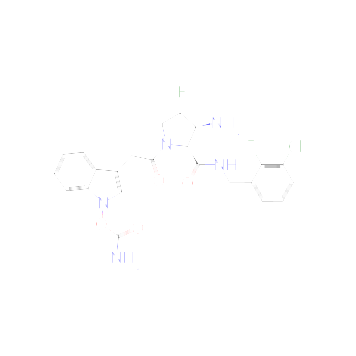 NC(=O)On1cc(CC(=O)N2C[C@H](F)[C@@H](N)[C@H]2C(=O)NCc2cccc(Cl)c2F)c2ccccc21